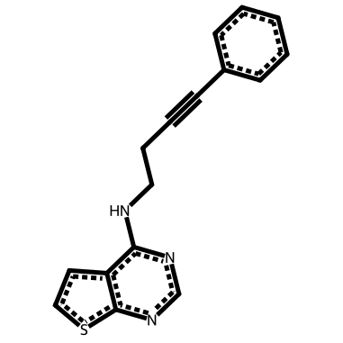 C(#Cc1ccccc1)CCNc1ncnc2sccc12